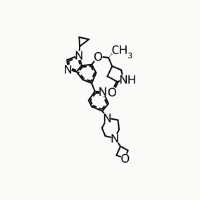 C[C@@H](Oc1cc(-c2ccc(N3CCN(C4COC4)CC3)cn2)cc2ncn(C3CC3)c12)C1CNC(=O)C1